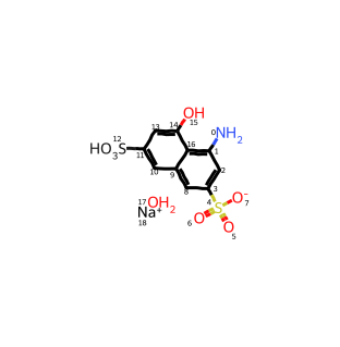 Nc1cc(S(=O)(=O)[O-])cc2cc(S(=O)(=O)O)cc(O)c12.O.[Na+]